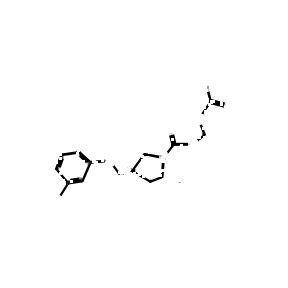 CC(C)C(=O)O[C@H](C)OC(=O)N1C[C@@H](COc2cccc(F)c2)C[C@H]1C(=O)O